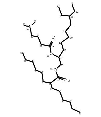 CCCCCCC(CCCCCC)C(=O)OCC(CCCCCC(CC)CC)OC(=O)CCCN(C)C